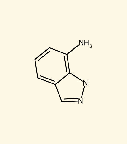 Nc1cccc2c1[N]N=C2